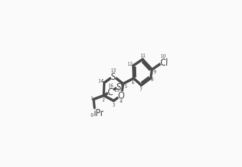 CC(C)CC12COC(c3ccc(Cl)cc3)(SC1)SC2